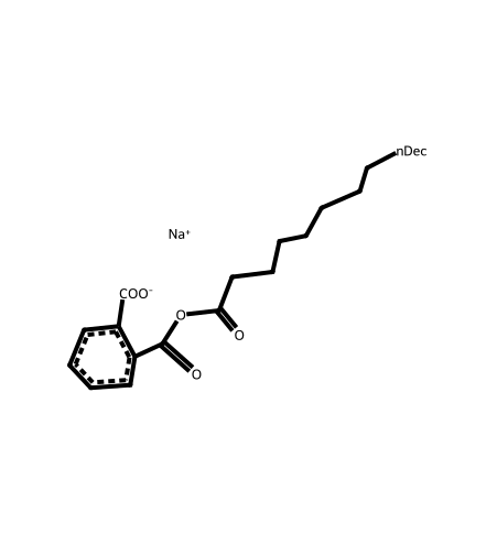 CCCCCCCCCCCCCCCCCC(=O)OC(=O)c1ccccc1C(=O)[O-].[Na+]